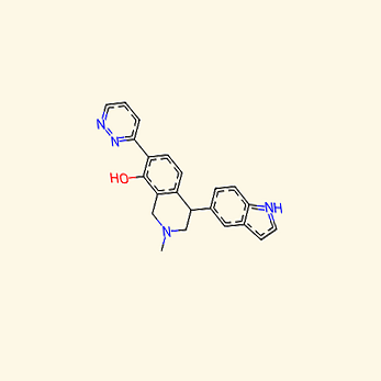 CN1Cc2c(ccc(-c3cccnn3)c2O)C(c2ccc3[nH]ccc3c2)C1